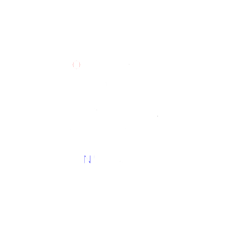 O=C1C=CC=C2C=[N+]C=C12